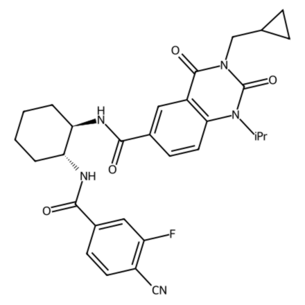 CC(C)n1c(=O)n(CC2CC2)c(=O)c2cc(C(=O)N[C@@H]3CCCC[C@H]3NC(=O)c3ccc(C#N)c(F)c3)ccc21